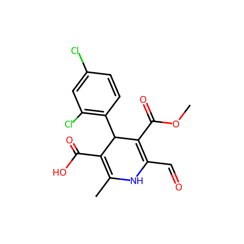 COC(=O)C1=C(C=O)NC(C)=C(C(=O)O)C1c1ccc(Cl)cc1Cl